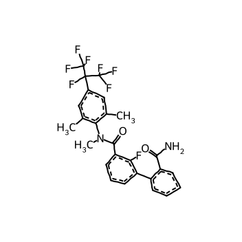 Cc1cc(C(F)(C(F)(F)F)C(F)(F)F)cc(C)c1N(C)C(=O)c1cccc(-c2ccccc2C(N)=O)c1F